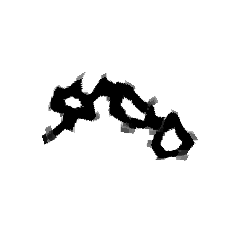 OCc1cccc(Cc2cnc(N3CCOCC3)nc2)c1